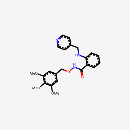 COc1cc(CONC(=O)c2ccccc2NCc2ccncc2)cc(OC)c1OC